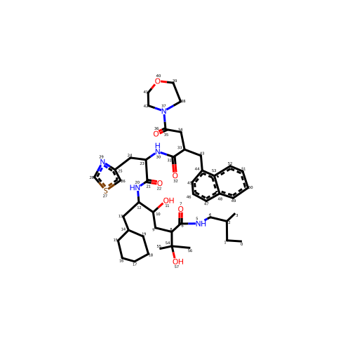 CCC(C)CNC(=O)C(CC(O)C(CC1CCCCC1)NC(=O)C(Cc1cscn1)NC(=O)C(CC(=O)N1CCOCC1)Cc1cccc2ccccc12)C(C)(C)O